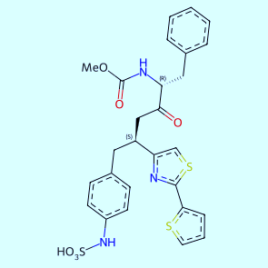 COC(=O)N[C@H](Cc1ccccc1)C(=O)C[C@H](Cc1ccc(NS(=O)(=O)O)cc1)c1csc(-c2cccs2)n1